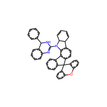 C1=CC2c3ccc4c(c3N(C3=Nc5ccccc5C(c5ccccc5)N3)C2C=C1)-c1ccccc1C41c2ccccc2Oc2ccccc21